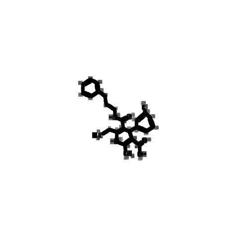 CCC1=C(C(=O)NCCCc2ccccc2)C(c2cccc(Cl)c2)C(C(=O)O)=C(C)N1